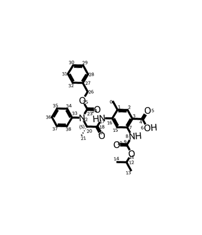 Cc1cc(C(=O)O)c(NC(=O)OC(C)C)cc1NC(=O)[C@H](C)N(C(=O)OCc1ccccc1)c1ccccc1